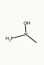 CN(O)P